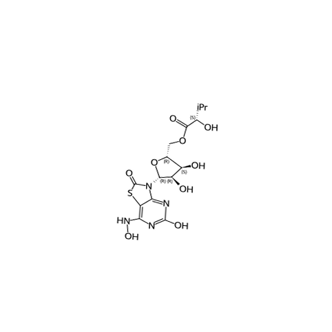 CC(C)[C@H](O)C(=O)OC[C@H]1O[C@@H](n2c(=O)sc3c(NO)nc(O)nc32)[C@H](O)[C@@H]1O